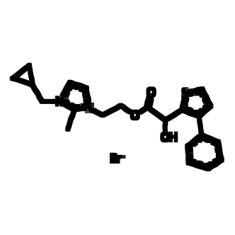 Cc1n(CCOC(=O)C(O)c2sccc2-c2ccccc2)cc[n+]1CC1CC1.[Br-]